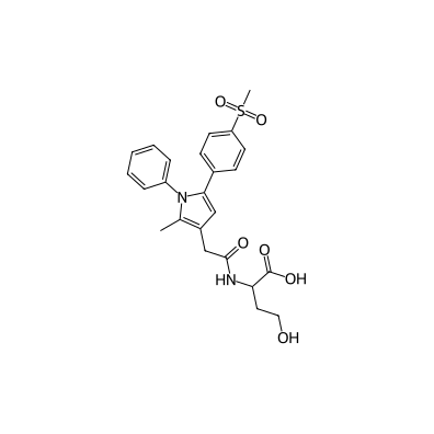 Cc1c(CC(=O)NC(CCO)C(=O)O)cc(-c2ccc(S(C)(=O)=O)cc2)n1-c1ccccc1